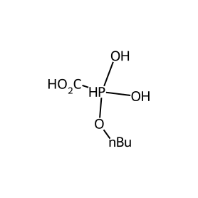 CCCCO[PH](O)(O)C(=O)O